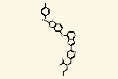 CCCN(Cc1ccc(-c2cc3nccc(Oc4ccc5oc(Nc6ccc(C)cc6)nc5c4)c3s2)nc1)C(C)=O